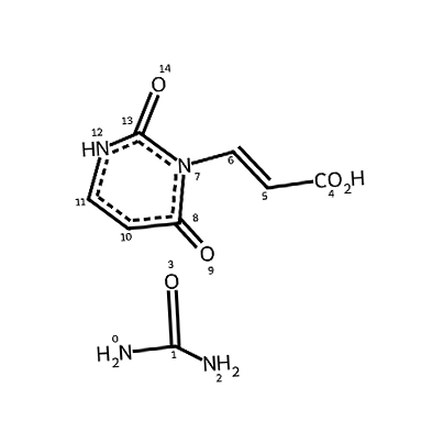 NC(N)=O.O=C(O)C=Cn1c(=O)cc[nH]c1=O